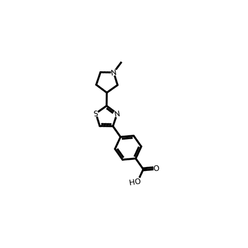 CN1CCC(c2nc(-c3ccc(C(=O)O)cc3)cs2)C1